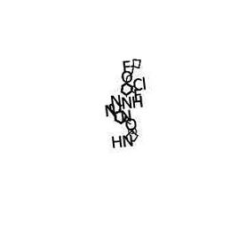 Fc1c(Nc2ncnc3ccc(O[C@H]4CCNC4)nc23)ccc(OCC2(F)CCC2)c1Cl